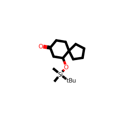 CC(C)(C)[Si](C)(C)OC1CC(=O)CCC12CCCC2